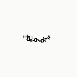 O=C(NC1CCC(CCN2CCc3sc(OCC(F)(F)F)nc3C2)CC1)c1cccc2[nH]ncc12